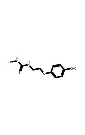 CCNC(=S)NCCOc1ccc(C=O)cc1